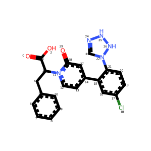 O=C(O)C(Cc1ccccc1)n1ccc(-c2cc(Cl)ccc2N2C=NNN2)cc1=O